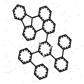 CC12c3ccccc3-c3cccc(c31)-c1c(-c3nc(-c4ccccc4-c4ccccc4)nc(-c4ccccc4-c4ccccc4)n3)ccc3cccc2c13